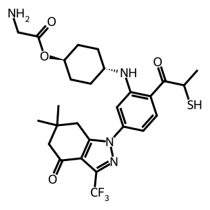 CC(S)C(=O)c1ccc(-n2nc(C(F)(F)F)c3c2CC(C)(C)CC3=O)cc1N[C@H]1CC[C@H](OC(=O)CN)CC1